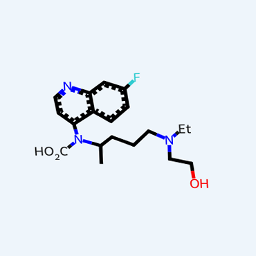 CCN(CCO)CCCC(C)N(C(=O)O)c1ccnc2cc(F)ccc12